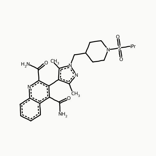 Cc1nn(CC2CCN(S(=O)(=O)C(C)C)CC2)c(C)c1-c1c(C(N)=O)nc2ccccc2c1C(N)=O